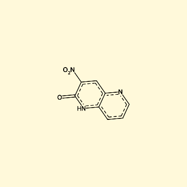 O=c1[nH]c2cccnc2cc1[N+](=O)[O-]